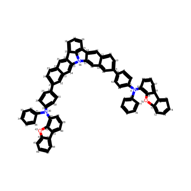 c1ccc(N(c2ccc(-c3ccc4cc5c6cccc7c8cc9ccc(-c%10ccc(N(c%11ccccc%11)c%11cccc%12c%11oc%11ccccc%11%12)cc%10)cc9cc8n(c5cc4c3)c67)cc2)c2cccc3c2oc2ccccc23)cc1